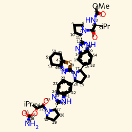 COC(=O)N[C@H](C(=O)N1CCC[C@H]1c1nc2cc([C@H]3CC[C@H](c4ccc5nc([C@@H]6CCCN6C(=O)C(OC(N)=O)C(C)C)[nH]c5c4)N3c3nc4c(s3)CCCC4)ccc2[nH]1)C(C)C